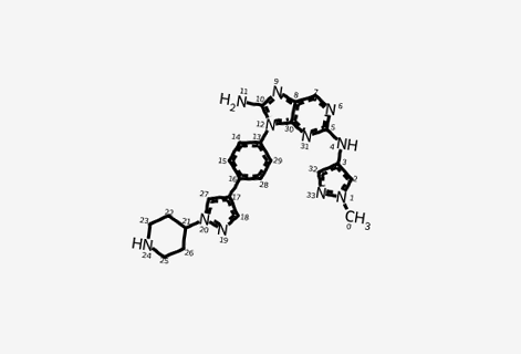 Cn1cc(Nc2ncc3nc(N)n(-c4ccc(-c5cnn(C6CCNCC6)c5)cc4)c3n2)cn1